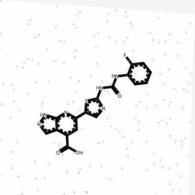 O=C(Nc1ncc(-c2cc(C(=O)O)c3cn[nH]c3n2)s1)Nc1ccccc1F